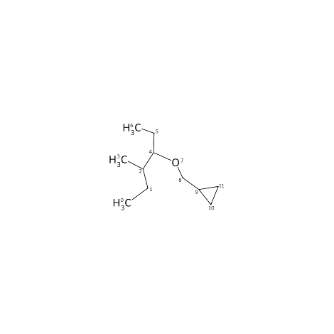 CCC(C)C(CC)OCC1CC1